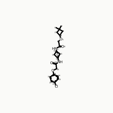 CC1(C)CC(OCC(=O)NC23CC(NC(=O)COc4ccc(Cl)cc4)(C2)C3)C1